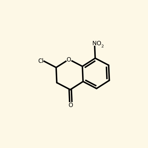 O=C1CC(Cl)Oc2c1cccc2[N+](=O)[O-]